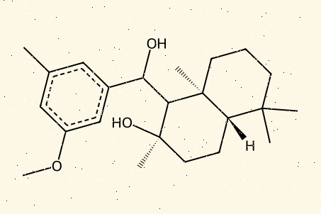 COc1cc(C)cc(C(O)C2[C@](C)(O)CC[C@H]3C(C)(C)CCC[C@]23C)c1